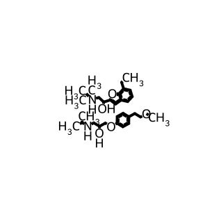 CCc1cccc2cc(C(O)CNC(C)(C)C)oc12.COCCc1ccc(OCC(O)CNC(C)C)cc1